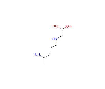 CC(N)CCCNCC(O)O